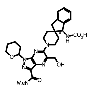 CNC(=O)c1nn(C2CCCCO2)c2nc(N3CCC4(CC3)Cc3ccccc3[C@H]4NC(=O)O)c(CO)nc12